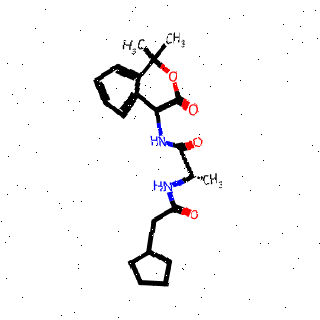 C[C@H](NC(=O)CC1CCCC1)C(=O)NC1C(=O)OC(C)(C)c2ccccc21